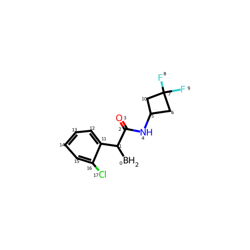 BC(C(=O)NC1CC(F)(F)C1)c1ccccc1Cl